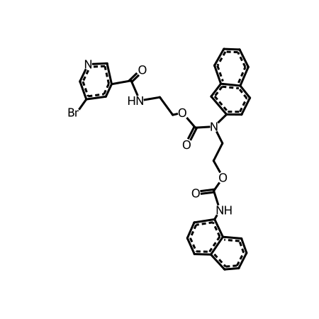 O=C(Nc1cccc2ccccc12)OCCN(C(=O)OCCNC(=O)c1cncc(Br)c1)c1ccc2ccccc2c1